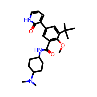 COc1c(C(=O)NC2CCC(N(C)C)CC2)cc(-c2ccc[nH]c2=O)cc1C(C)(C)C